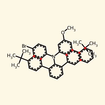 COc1cc(-c2ccccc2)cc(N(c2ccc(Br)cc2)c2c(-c3ccc(C(C)(C)C)cc3)cccc2-c2ccc(C(C)(C)C)cc2)c1